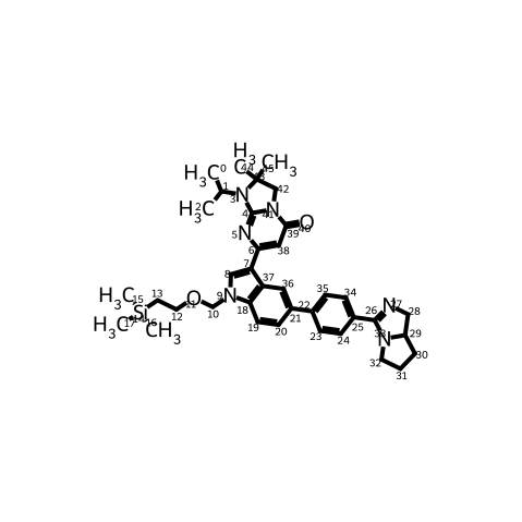 CC(C)N1c2nc(-c3cn(COCC[Si](C)(C)C)c4ccc(-c5ccc(C6=NCC7CCCN67)cc5)cc34)cc(=O)n2CC1(C)C